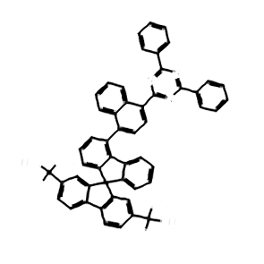 CC(C)(C)c1ccc2c(c1)C1(c3cc(C(C)(C)C)ccc3-2)c2ccccc2-c2c(-c3ccc(-c4nc(-c5ccccc5)nc(-c5ccccc5)n4)c4ccccc34)cccc21